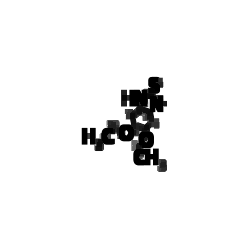 CCOc1cc2c(cc1OCC)NC(=S)[N]2